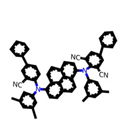 Cc1cc(C)cc(N(c2ccc(-c3ccccc3)cc2C#N)c2ccc3ccc4c(N(c5cc(C)cc(C)c5)c5c(C#N)cc(-c6ccccc6)cc5C#N)ccc5ccc2c3c54)c1